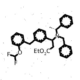 CCOC(=O)CC(c1cccc(Cc2ccccc2OC(F)F)c1)N(Cc1ccccc1)[C@H](C)c1ccccc1